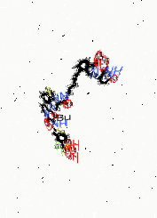 CC(C)(C)[C@H](NC(=O)c1cc2cc(C(F)(F)P(=O)(O)O)ccc2s1)C(=O)N1CCC[C@H]1C(=O)N(CCC(=O)NCCCC#Cc1cccc2c1CN(C1CCC(=O)NC1=O)C2=O)c1cccc2sccc12